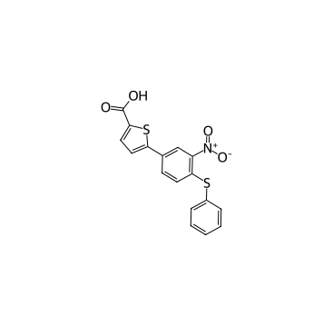 O=C(O)c1ccc(-c2ccc(Sc3ccccc3)c([N+](=O)[O-])c2)s1